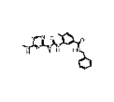 CNc1ncnc(N(C)C(=O)Nc2cc(C(=O)NCc3ccccc3)ccc2C)n1